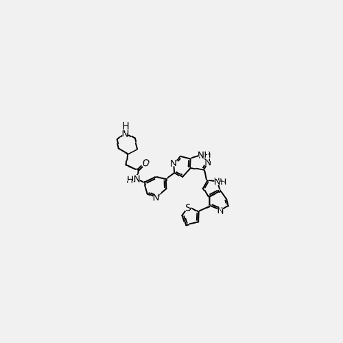 O=C(CC1CCNCC1)Nc1cncc(-c2cc3c(-c4cc5c(-c6cccs6)nccc5[nH]4)n[nH]c3cn2)c1